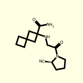 N#C[C@@H]1CCCN1C(=O)CNC1(C(N)=O)CC2(CCC2)C1